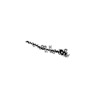 C=COCCOC(=O)CCCCCOC(=O)CC(=O)NCCNC(=O)CC(=O)OCCOc1ccc(C(=O)C(C)(C)O)cc1